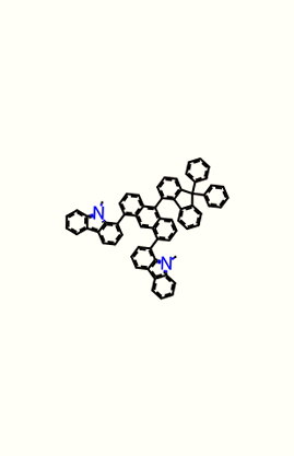 Cn1c2ccccc2c2cccc(-c3cccc4c(-c5cccc6c5-c5ccccc5C6(c5ccccc5)c5ccccc5)c5cccc(-c6cccc7c8ccccc8n(C)c67)c5cc34)c21